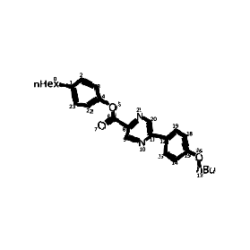 CCCCCCc1ccc(OC(=O)c2cnc(-c3ccc(OCCCC)cc3)cn2)cc1